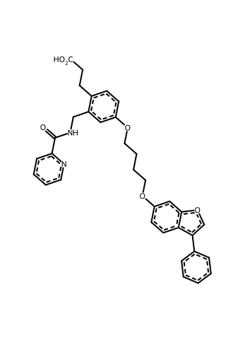 O=C(O)CCc1ccc(OCCCCOc2ccc3c(-c4ccccc4)coc3c2)cc1CNC(=O)c1ccccn1